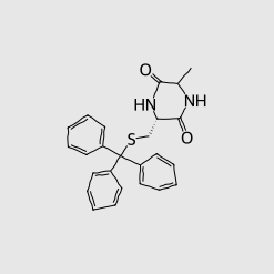 CC1NC(=O)[C@H](CSC(c2ccccc2)(c2ccccc2)c2ccccc2)NC1=O